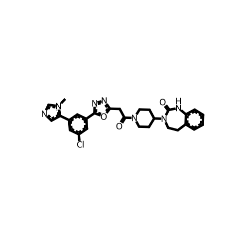 Cn1cncc1-c1cc(Cl)cc(-c2nnc(CC(=O)N3CCC(N4CCc5ccccc5NC4=O)CC3)o2)c1